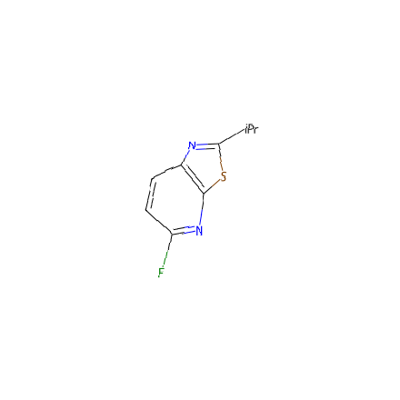 CC(C)c1nc2ccc(F)nc2s1